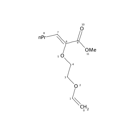 C=COCCOC(=CCCC)C(=O)OC